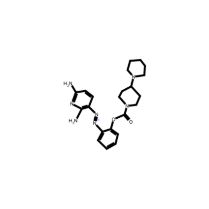 Nc1ccc(/N=N/c2ccccc2OC(=O)N2CCC(N3CCCCC3)CC2)c(N)n1